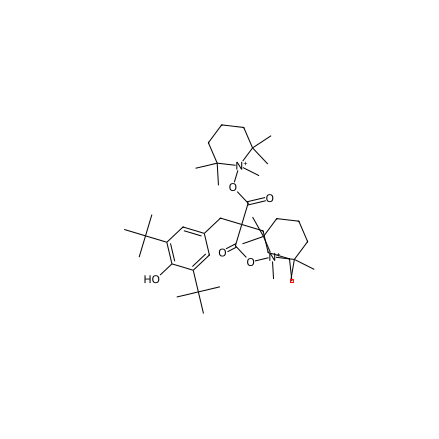 CCCCC(Cc1cc(C(C)(C)C)c(O)c(C(C)(C)C)c1)(C(=O)O[N+]1(C)C(C)(C)CCCC1(C)C)C(=O)O[N+]1(C)C(C)(C)CCCC1(C)C